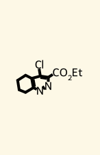 CCOC(=O)c1nnc2c(c1Cl)CCCC2